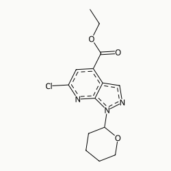 CCOC(=O)c1cc(Cl)nc2c1cnn2C1CCCCO1